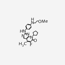 COCCNc1ccc(Nc2ncc3c(C)c(F)c(=O)n(C4CCCC4)c3n2)cc1